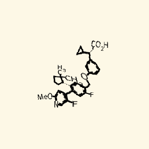 COc1cc(-c2cc(F)c(COc3cccc([C@@H](CC(=O)O)C4CC4)c3)cc2[C@@H]2CCCC2(C)C)c(F)cn1